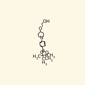 CC1(C)OB(c2ccc(N3CCC(OCCO)CC3)cc2)OC1(C)C